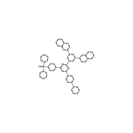 O=P(c1ccccc1)(c1ccccc1)c1ccc(-c2cc(-c3ccc(-c4ccccc4)cc3)nc(-c3cc(-c4ccc5ccccc5c4)cc(-c4ccc5ccccc5c4)c3)n2)cc1